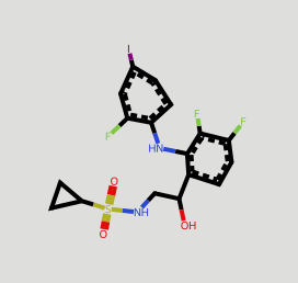 O=S(=O)(NCC(O)c1ccc(F)c(F)c1Nc1ccc(I)cc1F)C1CC1